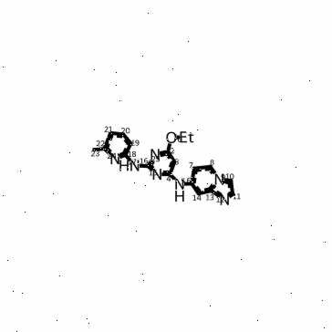 CCOc1cc(Nc2ccn3ccnc3c2)nc(Nc2cccc(C)n2)n1